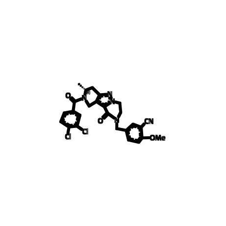 COc1ccc(CN2CCn3nc4c(c3C2=O)CN(C(=O)c2ccc(Cl)c(Cl)c2)[C@H](C)C4)cc1C#N